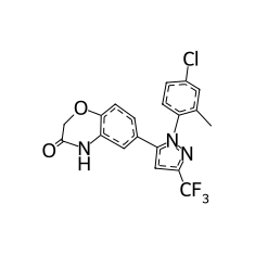 Cc1cc(Cl)ccc1-n1nc(C(F)(F)F)cc1-c1ccc2c(c1)NC(=O)CO2